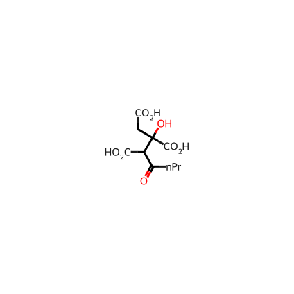 CCCC(=O)C(C(=O)O)C(O)(CC(=O)O)C(=O)O